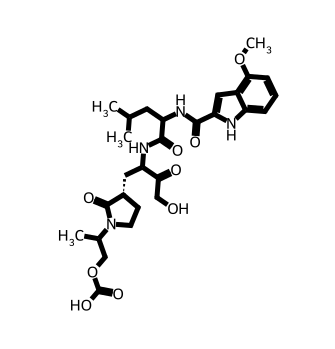 COc1cccc2[nH]c(C(=O)NC(CC(C)C)C(=O)NC(C[C@@H]3CCN(C(C)COC(=O)O)C3=O)C(=O)CO)cc12